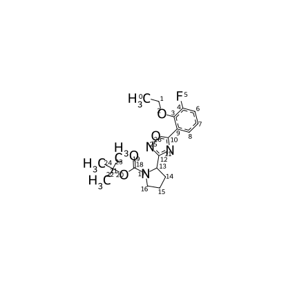 CCOc1c(F)cccc1-c1nc(C2CCCN2C(=O)OC(C)(C)C)no1